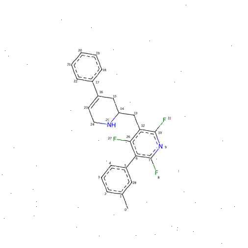 Cc1cccc(-c2c(F)nc(F)c(CC3CC(c4ccccc4)=CCN3)c2F)c1